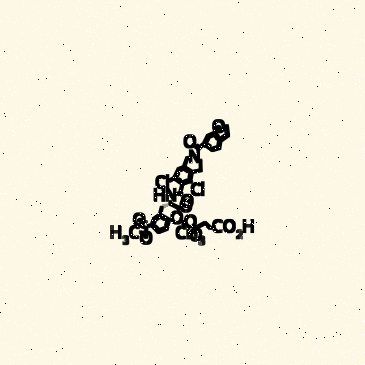 CC(OC(=O)CCC(=O)O)OC(=O)[C@H](Cc1cccc(S(C)(=O)=O)c1)NC(=O)c1c(Cl)cc2c(c1Cl)CCN(C(=O)c1ccc3ccoc3c1)C2